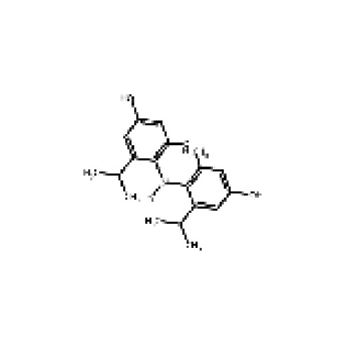 Cc1cc(O)cc(C(C)C)c1[S+]([O-])c1c(C)cc(O)cc1C(C)C